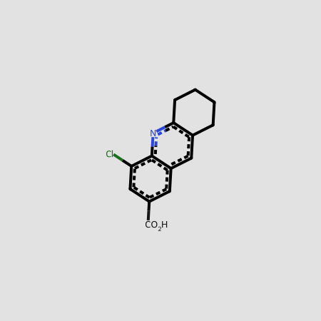 O=C(O)c1cc(Cl)c2nc3c(cc2c1)CCCC3